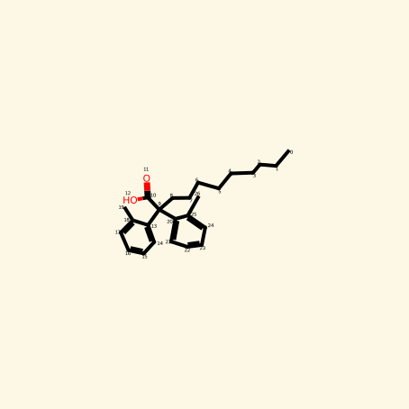 CCCCCCCCCC(C(=O)O)(c1ccccc1C)c1ccccc1C